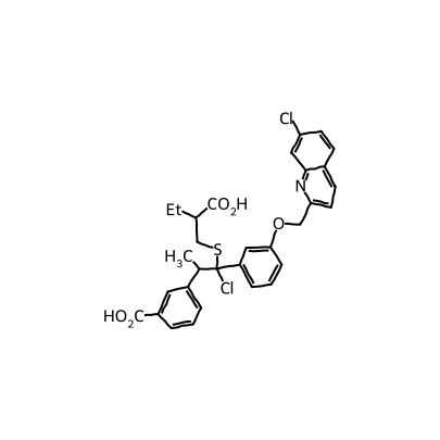 CCC(CSC(Cl)(c1cccc(OCc2ccc3ccc(Cl)cc3n2)c1)C(C)c1cccc(C(=O)O)c1)C(=O)O